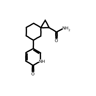 NC(=O)C1CC12CCCC(c1ccc(=O)[nH]c1)C2